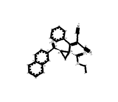 CCOC(=O)[C@]1(C(=C(C#N)C#N)c2ccccc2)C[C@H]1C(=O)c1ccc2ccccc2c1